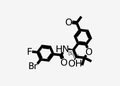 CC(=O)c1ccc2c(c1)[C@H](NC(=O)c1ccc(F)c(Br)c1)[C@@H](O)C(C)(C)O2